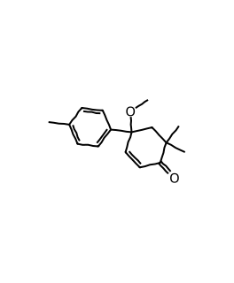 COC1(c2ccc(C)cc2)C=CC(=O)C(C)(C)C1